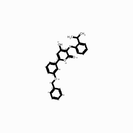 CC(C)c1ccccc1Sc1c(O)cc(-c2cccc(OCc3ccccc3)c2)oc1=O